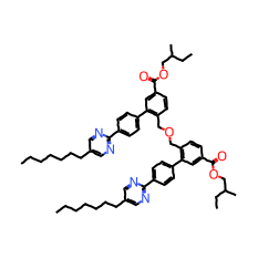 CCCCCCCc1cnc(-c2ccc(-c3cc(C(=O)OCC(C)CC)ccc3COCc3ccc(C(=O)OCC(C)CC)cc3-c3ccc(-c4ncc(CCCCCCC)cn4)cc3)cc2)nc1